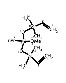 C=C[Si](C)(C)O[Si](CCC)(OC)O[Si](C)(C)C=C